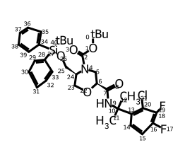 CC(C)(C)OC(=O)N1C[C@@H](C(=O)NC(C)(C)c2ccc(F)c(F)c2Cl)OC[C@H]1CO[Si](c1ccccc1)(c1ccccc1)C(C)(C)C